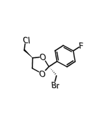 Fc1ccc([C@@]2(CBr)OC[C@@H](CCl)O2)cc1